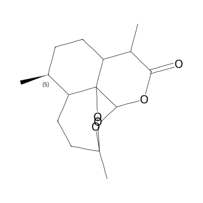 CC1C(=O)OC2OC3(C)CCC4[C@@H](C)CCC1C24OO3